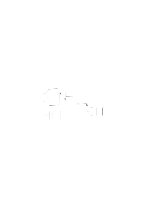 C=CCCN1CCOCC1.Cl